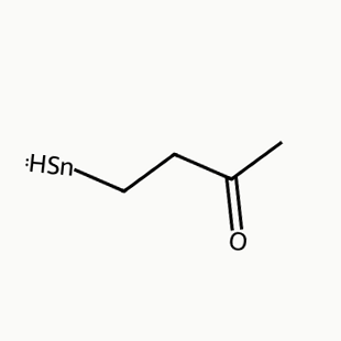 CC(=O)C[CH2][SnH]